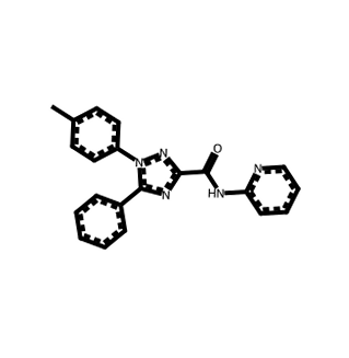 Cc1ccc(-n2nc(C(=O)Nc3ccccn3)nc2-c2ccccc2)cc1